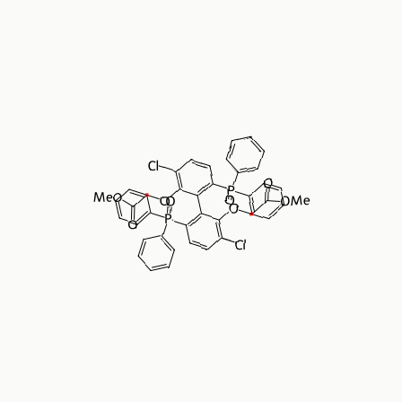 COC(=O)COc1c(Cl)ccc(P(=O)(c2ccccc2)c2ccccc2)c1-c1c(P(=O)(c2ccccc2)c2ccccc2)ccc(Cl)c1OCC(=O)OC